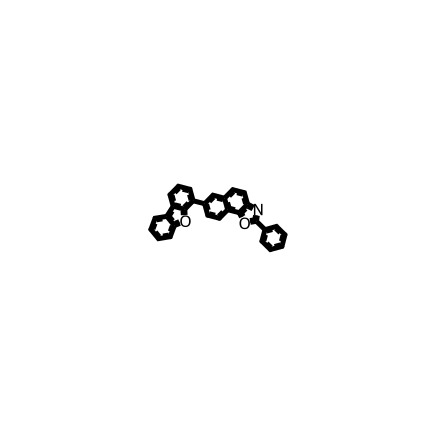 c1ccc(-c2nc3ccc4cc(-c5cccc6c5oc5ccccc56)ccc4c3o2)cc1